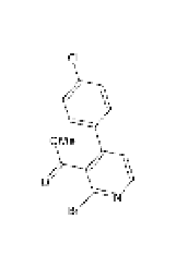 COC(=O)c1c(-c2ccc(Cl)cc2)ccnc1Br